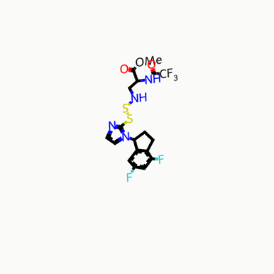 COC(=O)C(CNSSc1nccn1C1CCc2c(F)cc(F)cc21)NC(=O)C(F)(F)F